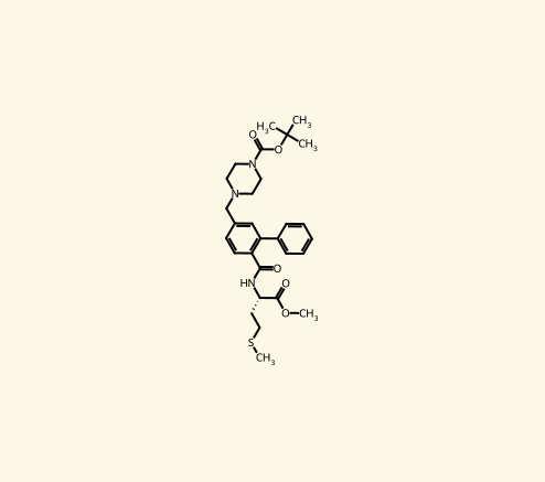 COC(=O)[C@H](CCSC)NC(=O)c1ccc(CN2CCN(C(=O)OC(C)(C)C)CC2)cc1-c1ccccc1